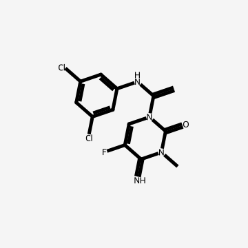 C=C(Nc1cc(Cl)cc(Cl)c1)n1cc(F)c(=N)n(C)c1=O